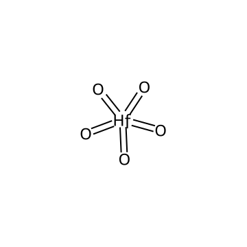 [O]=[Hf](=[O])(=[O])(=[O])=[O]